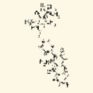 CC[C@@](C)(NCCc1ccc(-n2c(N)c(C(=O)c3ccc(F)cc3F)ccc2=O)cc1)C(=O)OC(C)(C)C